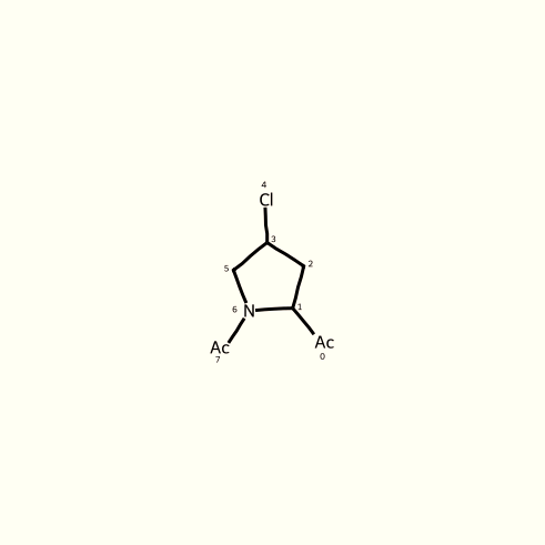 CC(=O)C1CC(Cl)CN1C(C)=O